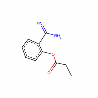 CCC(=O)Oc1ccccc1C(=N)N